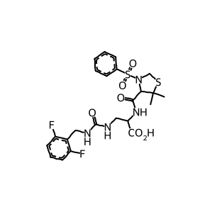 CC1(C)SCN(S(=O)(=O)c2ccccc2)C1C(=O)NC(CNC(=O)NCc1c(F)cccc1F)C(=O)O